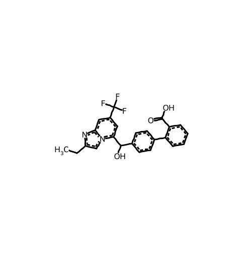 CCc1cn2c(C(O)c3ccc(-c4ccccc4C(=O)O)cc3)cc(C(F)(F)F)cc2n1